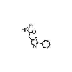 CC(C)NC(=O)Cc1cnc(-c2ccccc2)s1